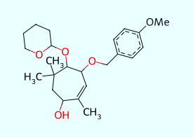 COc1ccc(COC2C=C(C)C(O)CC(C)(C)C2OC2CCCCO2)cc1